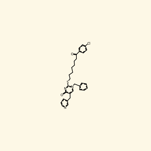 O=C(CCCCCCCSc1nc(=O)c(Cc2cccnc2)cn1Cc1ccccc1)c1ccc(Cl)cc1